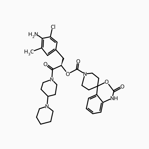 Cc1cc(C[C@@H](OC(=O)N2CCC3(CC2)OC(=O)Nc2ccccc23)C(=O)N2CCC(N3CCCCC3)CC2)cc(Cl)c1N